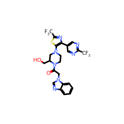 O=C(Cn1cnc2ccccc21)N1CCN(c2sc(C(F)(F)F)nc2-c2cnc(C(F)(F)F)nc2)CC1CO